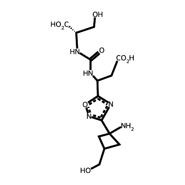 NC1(c2noc(C(CC(=O)O)NC(=O)N[C@@H](CO)C(=O)O)n2)CC(CO)C1